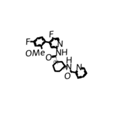 COc1cc(F)ccc1-c1cc(NC(=O)[C@H]2CCC[C@@H](NC(=O)c3ccccn3)C2)ncc1F